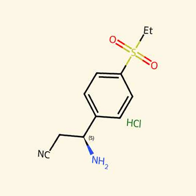 CCS(=O)(=O)c1ccc([C@@H](N)CC#N)cc1.Cl